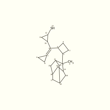 CC1(C2CCC2C(=C2CC2)C2CC2S)C2CC3CC(C2)CC1C3